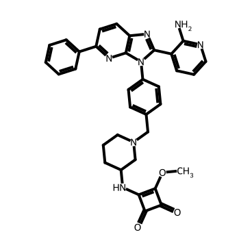 COc1c(NC2CCCN(Cc3ccc(-n4c(-c5cccnc5N)nc5ccc(-c6ccccc6)nc54)cc3)C2)c(=O)c1=O